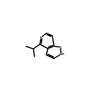 CC(C)c1nccc2c1C=CNS2